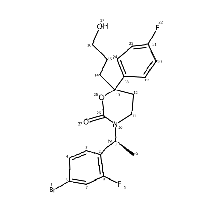 C[C@@H](c1ccc(Br)cc1F)N1CCC(CCCO)(c2ccc(F)cc2)OC1=O